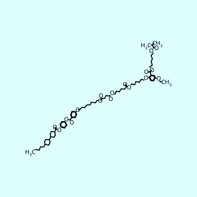 C=C(C)C(=O)OCCCCCCOC(=O)c1cc(OCC)ccc1OCCCCCCOC(=O)CCCCCOC(=O)CCC(=O)OCCCCCCCCOc1ccc(C(=O)Oc2ccc(OC(=O)C3CCC(C4CCC(CCCCC)CC4)CC3)cc2)cc1